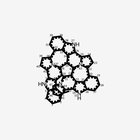 Cc1cccc2[nH]c3c(c12)c1c2c4c5c([nH]c6cccc(c65)c5ccc6c7[nH]c8cccc9c8c7c(c1n1c9ccc31)c4n56)c1cccn12